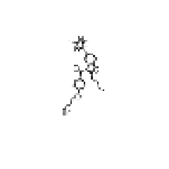 CCCCc1oc2ccc(-c3nc(C)no3)cc2c1C(=O)c1ccc(OCCCBr)cc1